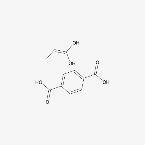 CC=C(O)O.O=C(O)c1ccc(C(=O)O)cc1